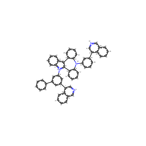 c1ccc(-c2cc(-c3cncc4ccccc34)cc(-n3c4c(c5ccccc53)-c3ccccc3N(c3cccc(-c5cncc6ccccc56)c3)c3ccccc3-4)c2)cc1